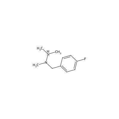 CN(Cc1ccc(F)cc1)[SiH](C)C